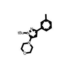 Cc1cccc(-c2cc(N3CCOCC3)n(C(C)(C)C)n2)c1